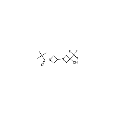 CC(C)(C)C(=O)N1CC(N2CC(O)(C(F)(F)F)C2)C1